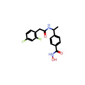 CC(NC(=O)Cc1ccc(F)cc1F)c1ccc(C(=O)NO)cc1